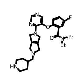 CCN(C(=O)c1cc(F)ccc1Oc1cncnc1N1CC2=C(CN(CC3CCNCC3)C2)C1)C(C)C